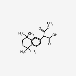 COC(=O)C(C(=O)O)c1ccc2c(c1)C(C)(C)CCC2(C)C